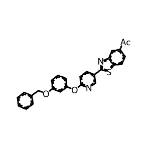 CC(=O)c1ccc2sc(-c3ccc(Oc4cccc(OCc5ccccc5)c4)nc3)nc2c1